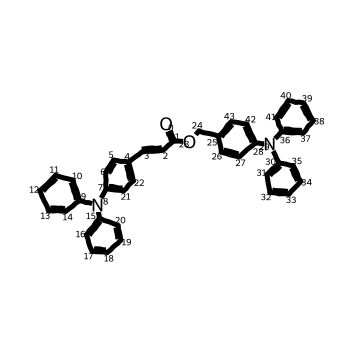 O=C(C=Cc1ccc(N(c2ccccc2)c2ccccc2)cc1)OCc1ccc(N(c2ccccc2)c2ccccc2)cc1